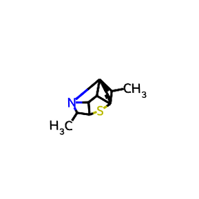 CC1C2SC34C=CC=CC5(C3C)C4C2N15